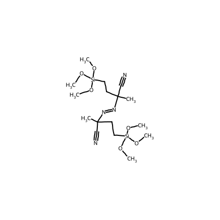 CO[Si](CCC(C)(C#N)/N=N/C(C)(C#N)CC[Si](OC)(OC)OC)(OC)OC